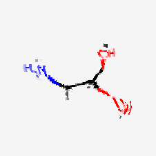 NCC(O)O